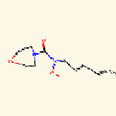 CCCCCCCCCCCCN(O)C(=O)N1CCOCC1